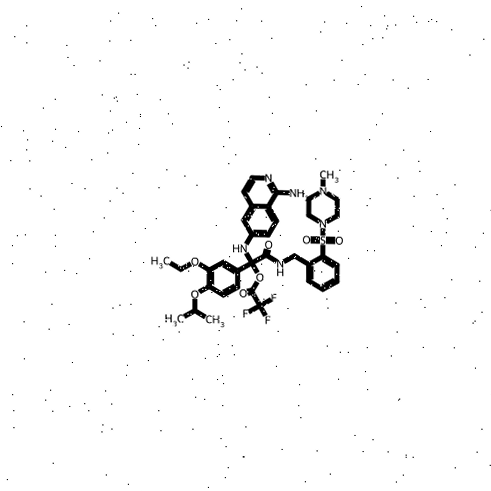 CCOc1cc(C(Nc2ccc3c(N)nccc3c2)(OC(=O)C(F)(F)F)C(=O)NCc2ccccc2S(=O)(=O)N2CCN(C)CC2)ccc1OC(C)C